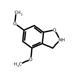 COc1cc(OC)c2c(c1)ONC2